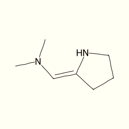 CN(C)/C=C1/CCCN1